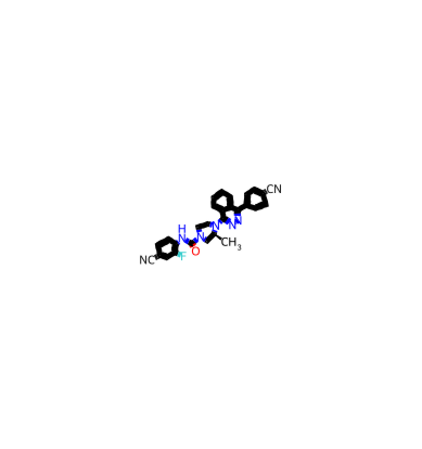 C[C@H]1CN(C(=O)Nc2ccc(C#N)cc2F)CCN1c1nnc(-c2ccc(C#N)cc2)c2ccccc12